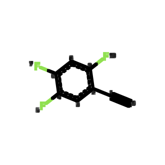 [C]#Cc1cc(F)c(F)cc1F